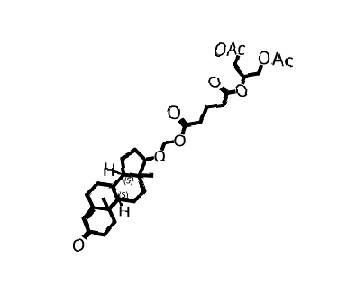 CC(=O)OCC(COC(C)=O)OC(=O)CCCC(=O)OCOC1CC[C@H]2C3CCC4=CC(=O)CCC4(C)[C@H]3CCC12C